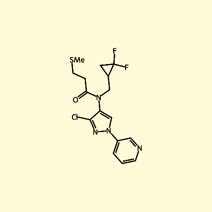 CSCCC(=O)N(CC1CC1(F)F)c1cn(-c2cccnc2)nc1Cl